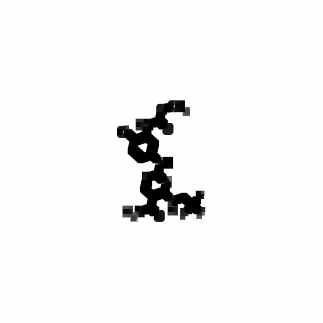 COC(=O)Nc1cc(Nc2ncc(C(N)=O)c(NCC(F)(F)F)n2)ccc1Cl